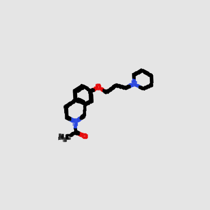 CC(=O)N1CCc2ccc(OCCCN3CCCCC3)cc2C1